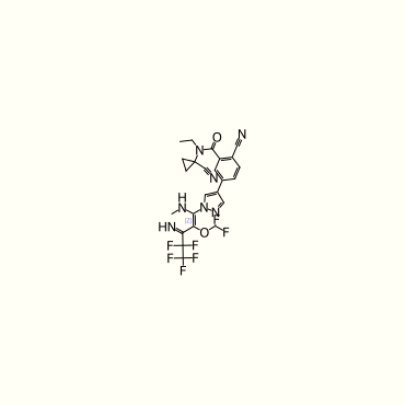 CCN(C(=O)c1cc(-c2cnn(/C(NC)=C(\OC(F)F)C(=N)C(F)(F)C(F)(F)F)c2)ccc1C#N)C1(C#N)CC1